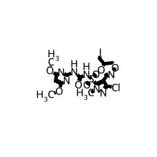 COc1cc(OC)nc(NC(=O)NS(=O)(=O)c2c(C3=NOCC(CI)O3)c(Cl)nn2C)n1